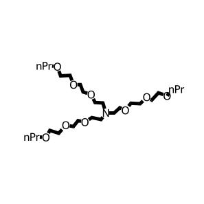 CCCOCCOCCOCCN(CCOCCOCCOCCC)CCOCCOCCOCCC